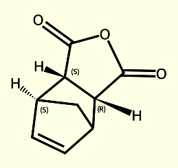 O=C1OC(=O)[C@@H]2C3C=C[C@H](C3)[C@H]12